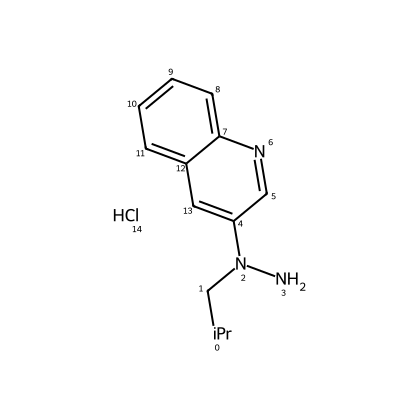 CC(C)CN(N)c1cnc2ccccc2c1.Cl